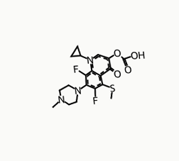 CSc1c(F)c(N2CCN(C)CC2)c(F)c2c1c(=O)c(OC(=O)O)cn2C1CC1